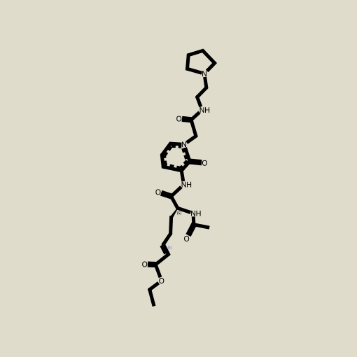 CCOC(=O)/C=C/CC[C@H](NC(C)=O)C(=O)Nc1cccn(CC(=O)NCCN2CCCC2)c1=O